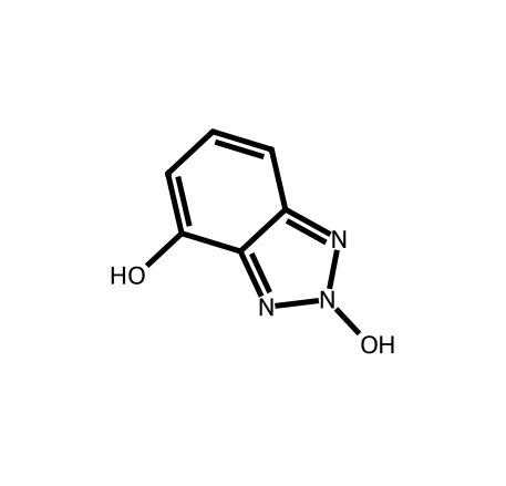 Oc1cccc2nn(O)nc12